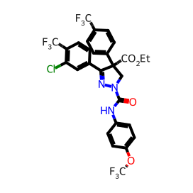 CCOC(=O)C1(c2ccc(C(F)(F)F)cc2)CN(C(=O)Nc2ccc(OC(F)(F)F)cc2)N=C1c1ccc(C(F)(F)F)c(Cl)c1